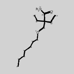 CCCCCCCOCC(CC)(CC)C(N)=O